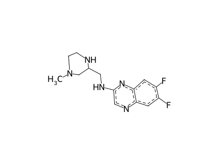 CN1CCNC(CNc2cnc3cc(F)c(F)cc3n2)C1